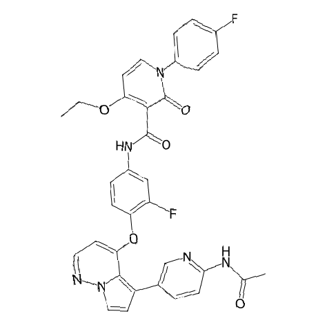 CCOc1ccn(-c2ccc(F)cc2)c(=O)c1C(=O)Nc1ccc(Oc2ccnn3ccc(-c4ccc(NC(C)=O)nc4)c23)c(F)c1